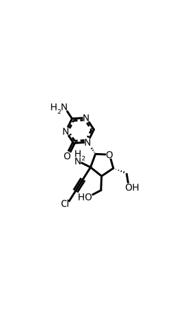 Nc1ncn([C@@H]2O[C@H](CO)C(CO)C2(N)C#CCl)c(=O)n1